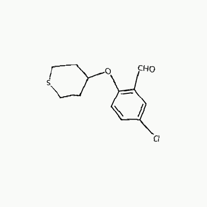 O=Cc1cc(Cl)ccc1OC1CCSCC1